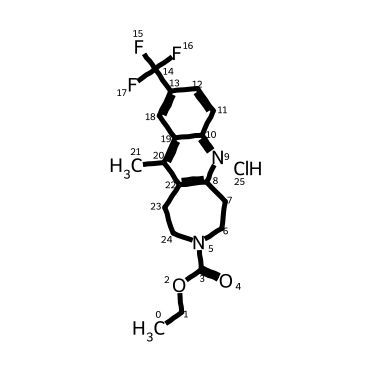 CCOC(=O)N1CCc2nc3ccc(C(F)(F)F)cc3c(C)c2CC1.Cl